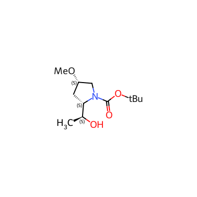 CO[C@H]1C[C@@H]([C@H](C)O)N(C(=O)OC(C)(C)C)C1